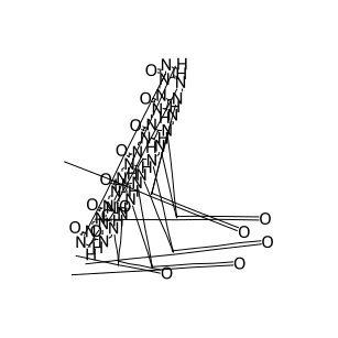 O=C1N2CN3C(=O)N4CN5C(=O)N6CN7C(=O)N8CN9C(=O)N%10CN%11C(=O)N%12CN%13C(=O)N%14CN1[C@@H]1[C@H]2N2CN%15C(=O)N(CN%16C(=O)N(CN%17C(=O)N([C@@H]8[C@@H]7%17)N7C(=O)N(CN8C(=O)N(CN%17C(=O)N(CN1C2=O)[C@@H]%14[C@@H]%13%17)[C@@H]%12[C@@H]%118)[C@@H]%10[C@@H]97)[C@@H]6[C@@H]5%16)[C@@H]4[C@@H]3%15